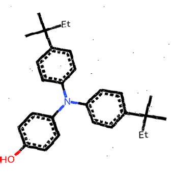 CCC(C)(C)c1ccc(N(c2ccc(O)cc2)c2ccc(C(C)(C)CC)cc2)cc1